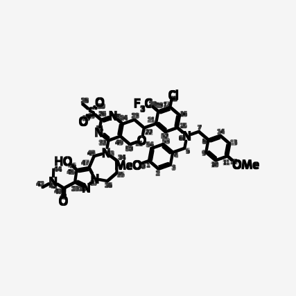 COc1ccc(CN(Cc2ccc(OC)cc2)c2cc(Cl)c(C(F)(F)F)c(C3Cc4nc(S(C)(=O)=O)nc(N5CCCn6nc(C(=O)N(C)C)c(O)c6C5)c4CO3)c2)cc1